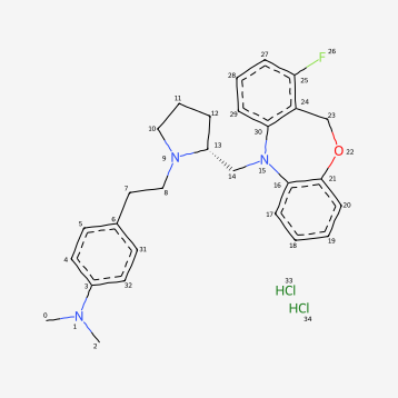 CN(C)c1ccc(CCN2CCC[C@@H]2CN2c3ccccc3OCc3c(F)cccc32)cc1.Cl.Cl